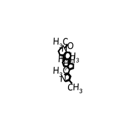 CCc1cncc(C2=CC[C@H]3[C@@H]4CCC5N(C(C)=O)CCC[C@]5(C)[C@H]4CC[C@]23C)c1